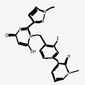 Cn1ccc(-c2nc(=O)cc(O)n2Cc2ccc(-c3cccn(C)c3=O)cc2F)n1